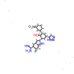 N=C(N)c1cc2cc(-c3cc(-c4cnn[nH]4)cc(-c4cccc([N+](=O)[O-])c4)c3O)[nH]c2cc1F